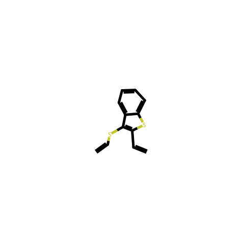 C=CSc1c(C=C)sc2ccccc12